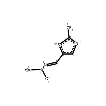 CC(C)(C)[S+]([O-])N=Cc1cnc(C(F)(F)F)s1